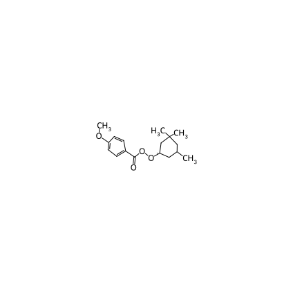 COc1ccc(C(=O)OO[C]2CC(C)CC(C)(C)C2)cc1